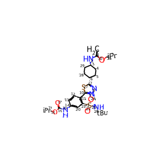 C=C(N[C@H]1CC[C@H](c2nnc(-c3ccc(NC(=O)OC(C)C)cc3S(=O)(=O)NC(C)(C)C)s2)CC1)OC(C)C